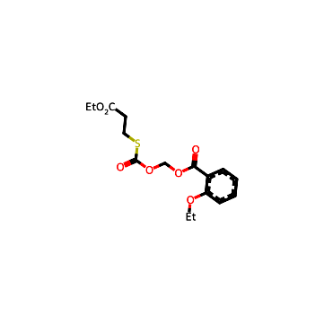 CCOC(=O)CCSC(=O)OCOC(=O)c1ccccc1OCC